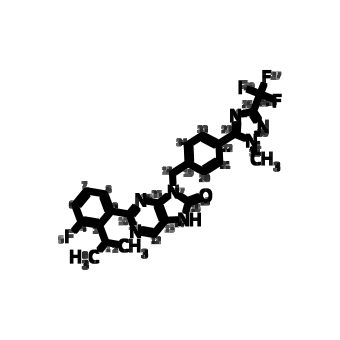 CC(C)c1c(F)cccc1-c1ncc2[nH]c(=O)n(Cc3ccc(-c4nc(C(F)(F)F)nn4C)cc3)c2n1